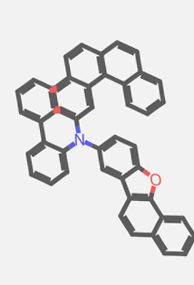 c1ccc(-c2ccccc2N(c2ccc3oc4c5ccccc5ccc4c3c2)c2ccc3ccc4ccc5ccccc5c4c3c2)cc1